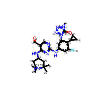 Cn1nnn(-c2cc(Nc3ncc(C=O)c(NC4CC(C)(C)NC(C)(C)C4)n3)cc(F)c2C2CC2)c1=O